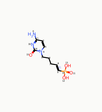 Nc1ccn(CCC/C=C/P(=O)(O)O)c(=O)n1